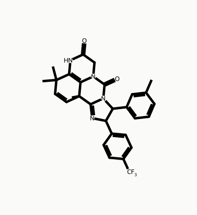 Cc1cccc(C2C(c3ccc(C(F)(F)F)cc3)N=C3N2C(=O)N2CC(=O)NC4=C2C3(C)C=CC4(C)C)c1